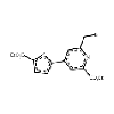 CCOC(=O)c1cc(-c2ccc(C(=O)OCC)s2)cc(CBr)n1